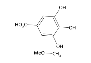 COC.O=C(O)c1cc(O)c(O)c(O)c1